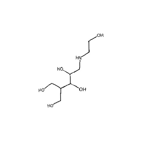 OCCNCC(O)C(O)C(CO)CO